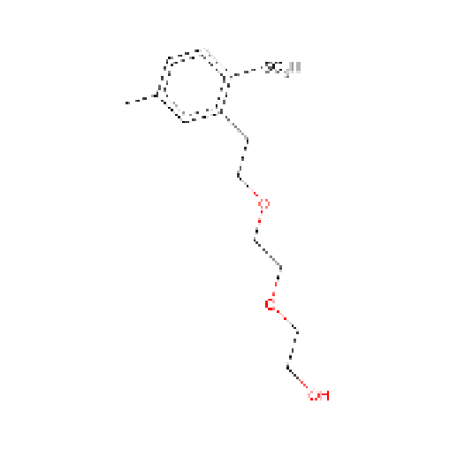 Cc1ccc(S(=O)(=O)O)c(CCOCCOCCO)c1